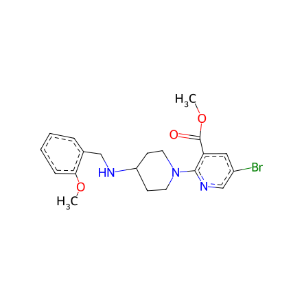 COC(=O)c1cc(Br)cnc1N1CCC(NCc2ccccc2OC)CC1